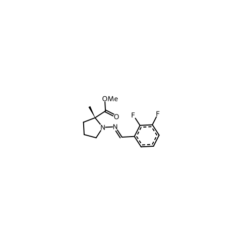 COC(=O)[C@@]1(C)CCCN1N=Cc1cccc(F)c1F